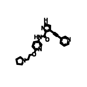 O=C(Nc1ccc(OCCN2CCCC2)nc1)c1n[nH]cc1C#Cc1cccnc1